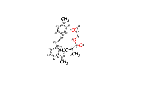 C=C(C)C(=O)OCC1CO1.C=Cc1cccc(C=Cc2ccc(C)cc2)c1